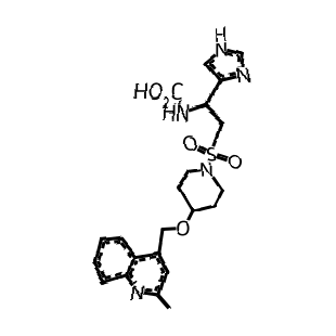 Cc1cc(COC2CCN(S(=O)(=O)CC(NC(=O)O)c3c[nH]cn3)CC2)c2ccccc2n1